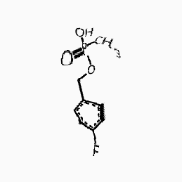 CP(=O)(O)OCc1ccc(F)cc1